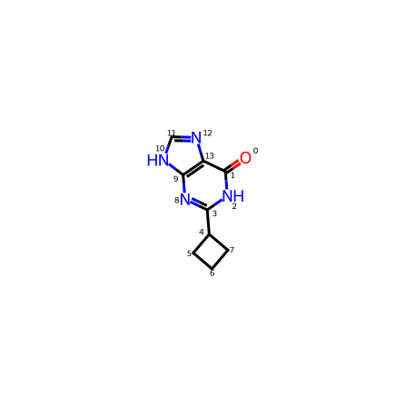 O=c1[nH]c(C2CCC2)nc2[nH]cnc12